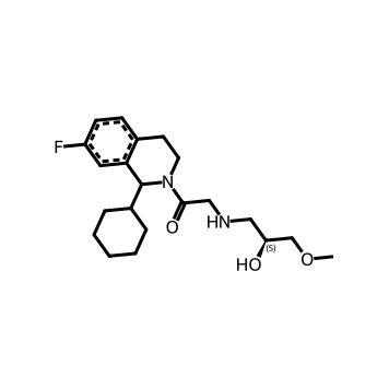 COC[C@@H](O)CNCC(=O)N1CCc2ccc(F)cc2C1C1CCCCC1